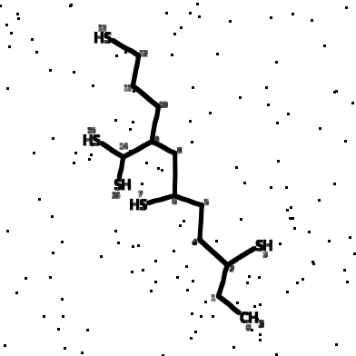 CCC(S)CCC(S)CC(CCCS)C(S)S